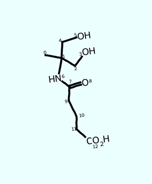 CC(CO)(CO)NC(=O)CCCC(=O)O